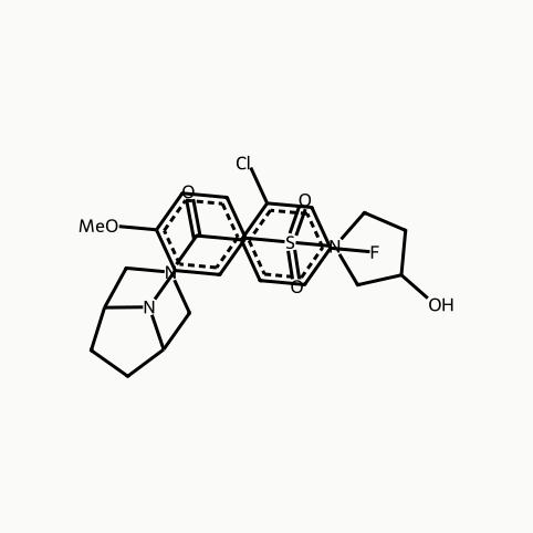 COc1ccc(S(=O)(=O)N2CCC(O)C2)cc1N1C2CCC1CN(C(=O)c1ccc(F)cc1Cl)C2